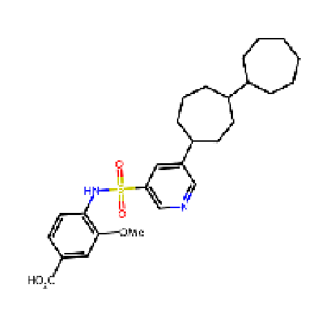 COc1cc(C(=O)O)ccc1NS(=O)(=O)c1cncc(C2CCCC(C3CCCCCC3)CC2)c1